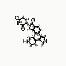 Cn1ncc(-c2ccc3c(c2)CN(C2CCC(=O)NC2=O)C3=O)c1C1=CCNCC1